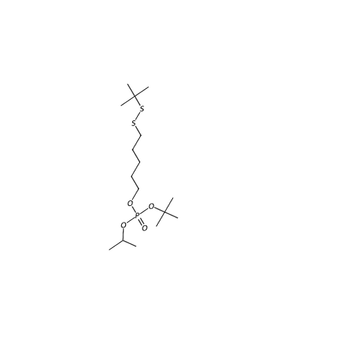 CC(C)OP(=O)(OCCCCCSSC(C)(C)C)OC(C)(C)C